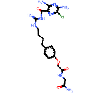 N=C(NCCCCc1ccc(OCC(=O)NCC(N)=O)cc1)NC(=O)c1nc(Cl)c(N)nc1N